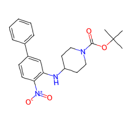 CC(C)(C)OC(=O)N1CCC(Nc2cc(-c3ccccc3)ccc2[N+](=O)[O-])CC1